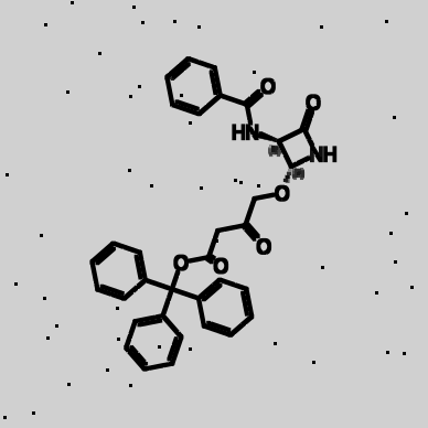 O=C(CO[C@H]1NC(=O)[C@@H]1NC(=O)c1ccccc1)CC(=O)OC(c1ccccc1)(c1ccccc1)c1ccccc1